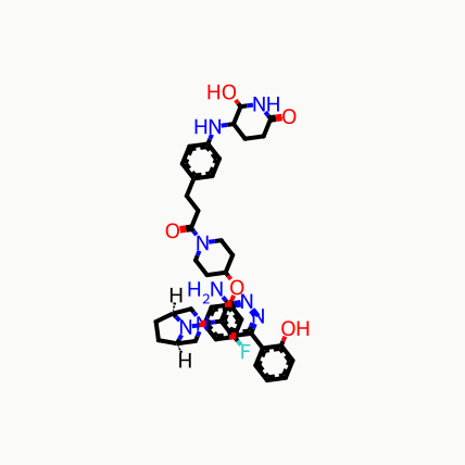 Nc1nnc(-c2ccccc2O)cc1N1C[C@H]2CC[C@@H](C1)N2c1cc(F)cc(OC2CCN(C(=O)CCc3ccc(NC4CCC(=O)NC4O)cc3)CC2)c1